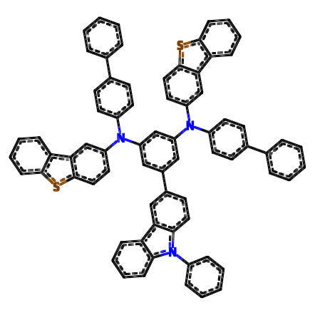 c1ccc(-c2ccc(N(c3cc(-c4ccc5c(c4)c4ccccc4n5-c4ccccc4)cc(N(c4ccc(-c5ccccc5)cc4)c4ccc5sc6ccccc6c5c4)c3)c3ccc4sc5ccccc5c4c3)cc2)cc1